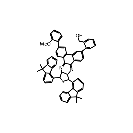 COc1ccccc1-c1ccc2c3c(c4ccc(-c5ccccc5CO)cc4c2c1)=NC1C(c2cccc4c2-c2ccccc2C4(C)C)SC(c2cccc4c2-c2ccccc2C4(C)C)C1N=3